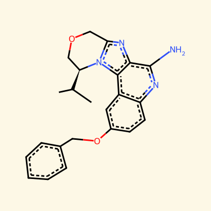 CC(C)[C@H]1COCc2nc3c(N)nc4ccc(OCc5ccccc5)cc4c3n21